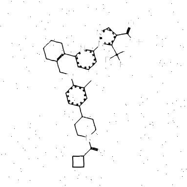 Cc1cc(C2CCN(C(=O)C3CCC3)CC2)ccc1OCC1=C(c2cccc(-n3ncc(C(=O)O)c3C(F)(F)F)n2)CCCC1